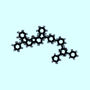 c1ccc(-c2nc(-c3ccccc3)nc(-c3cccc(-c4ccc(-n5c6ccccc6c6c7oc8c(ccc9c8c8ccccc8n9-c8ccccc8)c7ccc65)cc4)c3)n2)cc1